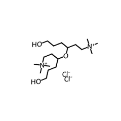 C[N+](C)(C)CCC(CCCO)OC(CCCO)CC[N+](C)(C)C.[Cl-].[Cl-]